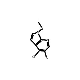 Clc1c(Br)cnc2c1ccn2SI